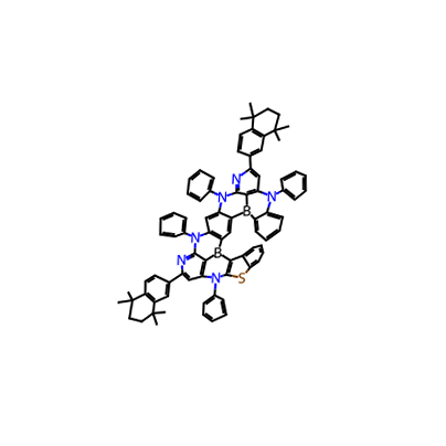 CC1(C)CCC(C)(C)c2cc(-c3cc4c5c(n3)N(c3ccccc3)c3cc6c(cc3B5c3ccccc3N4c3ccccc3)B3c4c(cc(-c5ccc7c(c5)C(C)(C)CCC7(C)C)nc4N6c4ccccc4)N(c4ccccc4)c4sc5ccccc5c43)ccc21